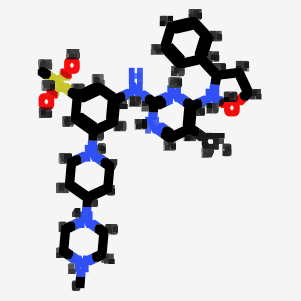 CN1CCN(C2CCN(c3cc(Nc4ncc(C(F)(F)F)c(N5OCCC5c5ccccc5)n4)cc(S(C)(=O)=O)c3)CC2)CC1